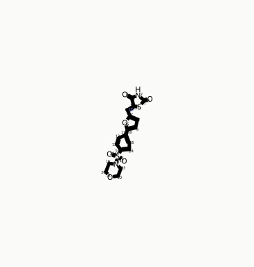 O=C1NC(=O)/C(=C/c2ccc(-c3ccc(S(=O)(=O)N4CCOCC4)cc3)o2)S1